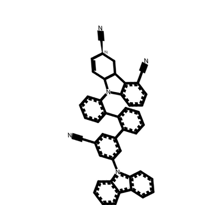 N#Cc1cc(-c2ccccc2-c2ccccc2N2c3cccc(C#N)c3C3C[C@H](C#N)C=CC32)cc(-n2c3ccccc3c3ccccc32)c1